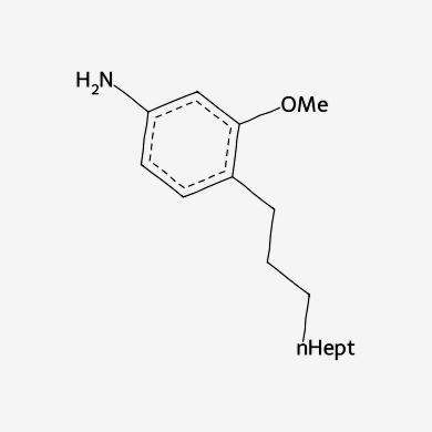 CCCCCCCCCCc1ccc(N)cc1OC